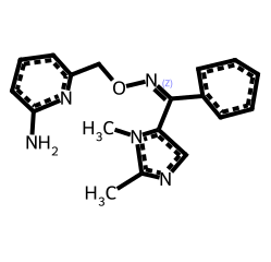 Cc1ncc(/C(=N\OCc2cccc(N)n2)c2ccccc2)n1C